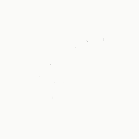 Cc1c(OC(C)(C)c2ccc(Cl)cn2)cccc1C1CCN(Cc2nc3ccc(C(=O)O)cc3n2C[C@@H]2CCO2)CC1